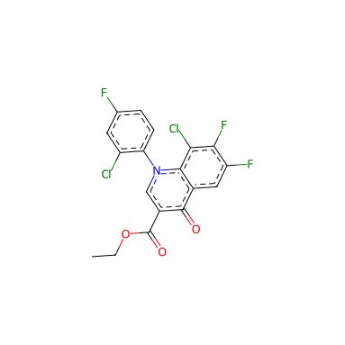 CCOC(=O)c1cn(-c2ccc(F)cc2Cl)c2c(Cl)c(F)c(F)cc2c1=O